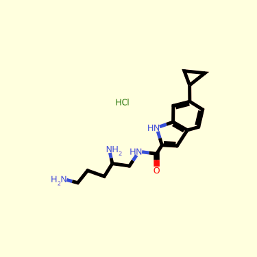 Cl.NCCCC(N)CNC(=O)c1cc2ccc(C3CC3)cc2[nH]1